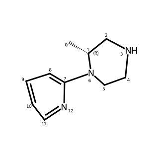 C[C@@H]1CNCCN1c1ccccn1